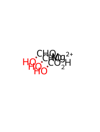 O=C(O)O.O=[C-]O.O=[C-]O.[Mg+2]